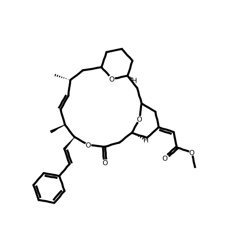 COC(=O)/C=C1/CC2C[C@@H]3CCCC(C[C@@H](C)/C=C/[C@H](C)[C@H](/C=C/c4ccccc4)OC(=O)C[C@H](C1)O2)O3